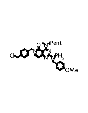 CCC[C@H](C)N(C)c1nc(N(P)Cc2ccc(OC)cc2)nc2ccn(Cc3ccc(CCl)cc3)c(=O)c12